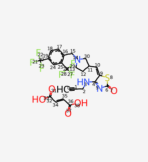 C#CCNC1=NC(=O)SC1=CC1CCN(Cc2ccc(C(F)(F)F)cc2C(F)(F)F)C1.O=C(O)C=CC(=O)O